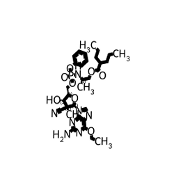 CCCC(CCC)C(=O)OC[C@H](C)NP(=O)(OC[C@H]1O[C@@H](n2cnc3c(OCC)nc(N)nc32)[C@](C)(C#N)[C@@H]1O)Oc1ccccc1